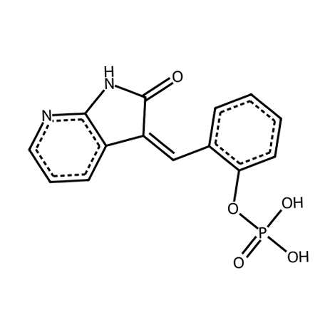 O=C1Nc2ncccc2C1=Cc1ccccc1OP(=O)(O)O